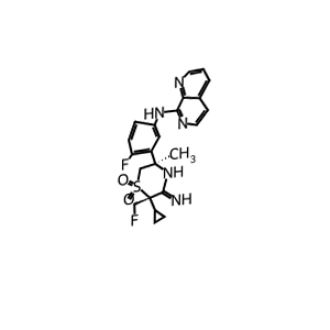 C[C@@]1(c2cc(Nc3nccc4cccnc34)ccc2F)CS(=O)(=O)[C@@](CF)(C2CC2)C(=N)N1